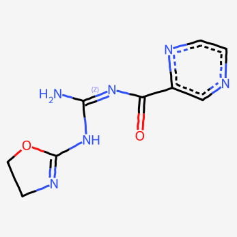 N/C(=N/C(=O)c1cnccn1)NC1=NCCO1